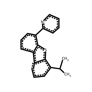 CC(C)c1cccc2c1sc1c(-c3ccccn3)cccc12